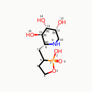 O=P1(O)OCCC1C[C@H]1NC[C@@H](O)[C@@H](O)[C@@H]1O